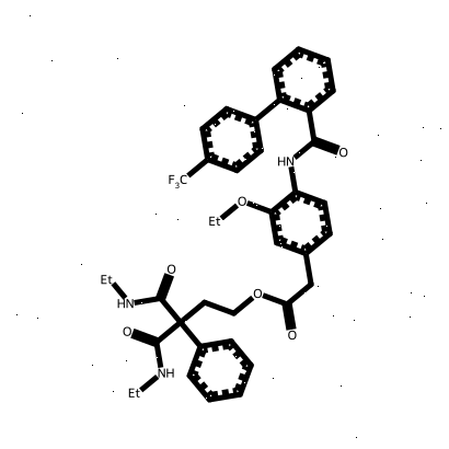 CCNC(=O)C(CCOC(=O)Cc1ccc(NC(=O)c2ccccc2-c2ccc(C(F)(F)F)cc2)c(OCC)c1)(C(=O)NCC)c1ccccc1